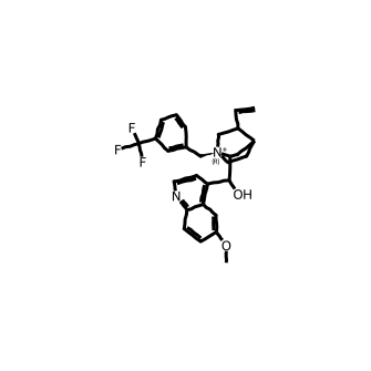 C=CC1C[N@@+]2(Cc3cccc(C(F)(F)F)c3)CCC1CC2C(O)c1ccnc2ccc(OC)cc12